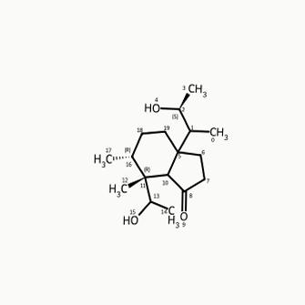 CC([C@H](C)O)C12CCC(=O)C1[C@](C)(C(C)O)[C@H](C)CC2